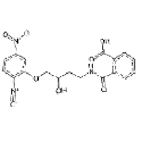 [C-]#[N+]c1ccc([N+](=O)[O-])cc1OCC(O)CCNC(=O)c1ccccc1C(=O)O